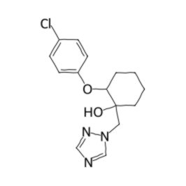 OC1(Cn2cncn2)CCCCC1Oc1ccc(Cl)cc1